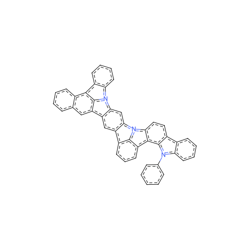 c1ccc(-n2c3ccccc3c3ccc4c(c5cccc6c7cc8c9cc%10ccccc%10c%10c%11ccccc%11n(c8cc7n4c65)c9%10)c32)cc1